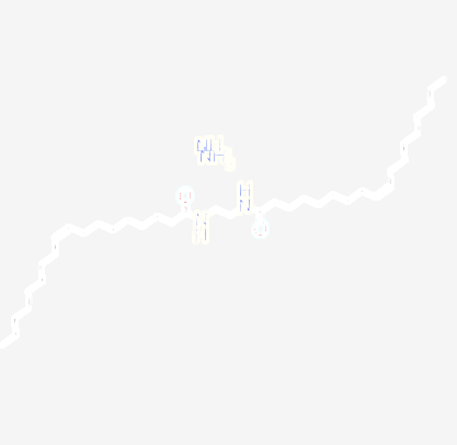 CCCCCCCC/C=C\CCCCCCCC(=O)NCCNC(=O)CCCCCCC/C=C\CCCCCCCC.N.N